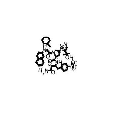 CC(C)(O)c1cnnn1[C@H]1C[C@@H](C(=O)NC(Cc2ccc([N+](=O)[O-])cc2)C(=O)C(N)=O)N(C(=O)[C@@H](CC2CCCCC2)Nc2ccc3ccccc3c2)C1